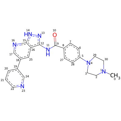 CN1CCN(c2ccc(C(=O)Nc3n[nH]c4ncc(-c5cccnc5)cc34)cc2)CC1